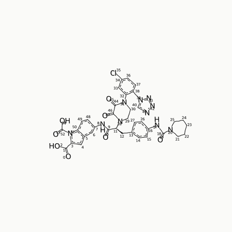 O=C(O)c1cc2cc(NC(=O)[C@H](Cc3ccc(NC(=O)N4CCCCC4)cc3)N3CCN(c4cc(Cl)ccc4-n4cnnn4)C(=O)C3=O)ccc2n1C(=O)O